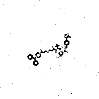 Cc1ncsc1-c1ccc(CNC(=O)[C@@H]2C[C@@H](O)CN2C(=O)[C@@H](NC(=O)CCOCCC(=O)N2CCN(C(c3ccccc3)c3ccccc3)CC2)C(C)(C)C)cc1